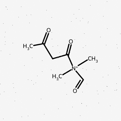 CC(=O)CC(=O)[N+](C)(C)C=O